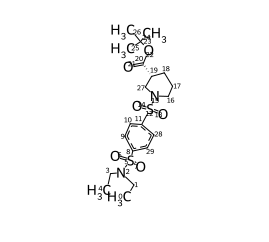 CCN(CC)S(=O)(=O)c1ccc(S(=O)(=O)N2CCC[C@@H](C(=O)OC(C)(C)C)C2)cc1